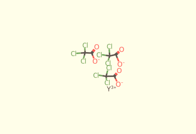 O=C([O-])C(Cl)(Cl)Cl.O=C([O-])C(Cl)(Cl)Cl.O=C([O-])C(Cl)(Cl)Cl.[Y+3]